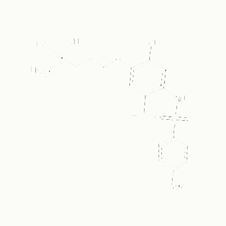 COc1ccc(S(=O)(=O)Nc2cc(C)c(OCCCC(C)(C)C(=O)O)cc2C)cc1